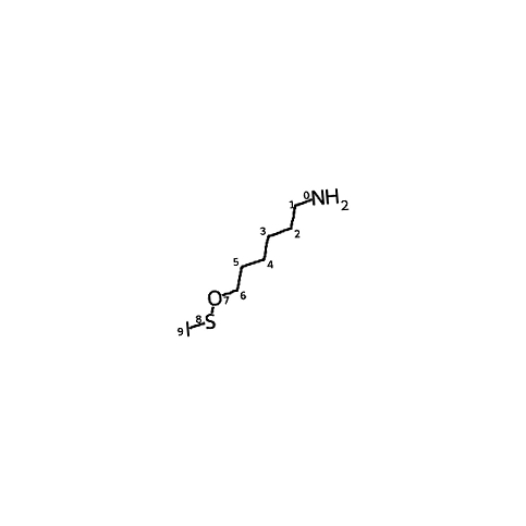 NCCCCCCOSI